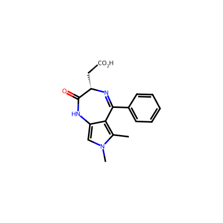 Cc1c2c(cn1C)NC(=O)[C@H](CC(=O)O)N=C2c1ccccc1